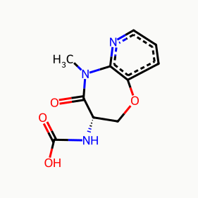 CN1C(=O)[C@@H](NC(=O)O)COc2cccnc21